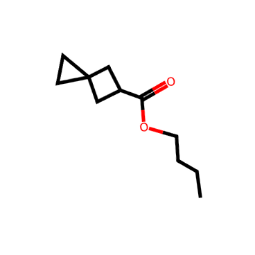 CCCCOC(=O)C1CC2(CC2)C1